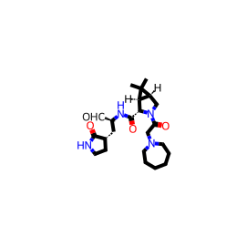 CC1(C)[C@@H]2[C@@H](C(=O)N[C@H](C=O)C[C@@H]3CCNC3=O)N(C(=O)CN3CCCCCC3)C[C@@H]21